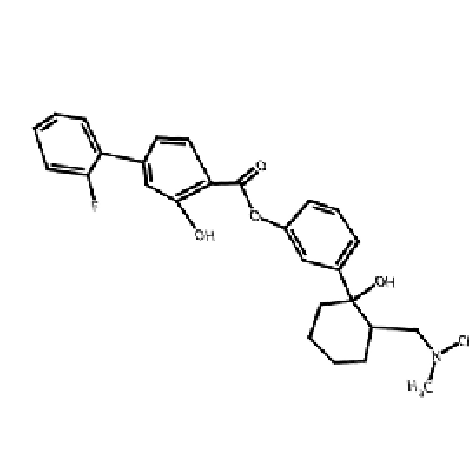 CN(C)CC1CCCCC1(O)c1cccc(OC(=O)c2ccc(-c3ccccc3F)cc2O)c1